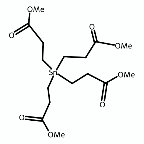 COC(=O)C[CH2][Sn]([CH2]CC(=O)OC)([CH2]CC(=O)OC)[CH2]CC(=O)OC